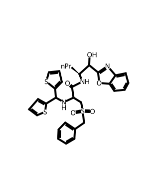 CCC[C@H](NC(=O)C(CS(=O)(=O)Cc1ccccc1)NC(c1cccs1)c1cccs1)C(O)c1nc2ccccc2o1